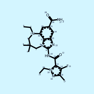 CCN1CC(C)(C)Cn2c(NC(=O)c3c(F)c(C)nn3CC)nc3cc(C(N)=O)cc1c32